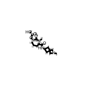 CN1CC2(CC(NC(=O)C3CCCN(OS(=O)O)C(=O)N3C)C2)C1